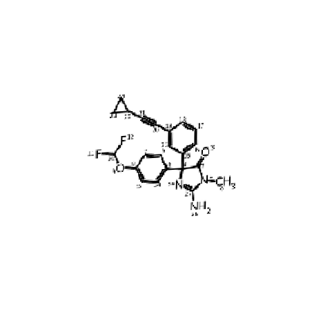 CN1C(=O)C(c2ccc(OC(F)F)cc2)(c2cccc(C#CC3CC3)c2)N=C1N